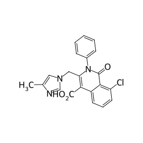 Cc1cn(Cc2c(C(=O)O)c3cccc(Cl)c3c(=O)n2-c2ccccc2)cn1